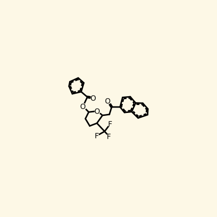 O=C(CC1OC(OC(=O)c2ccccc2)CCC1C(F)(F)F)c1ccc2ccccc2c1